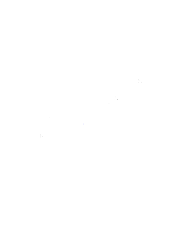 COc1cc(/C=C2/C(C)=C(CC(=O)NCc3cccnc3)c3cc(F)ccc32)cc(OC)c1N1CCOCC1